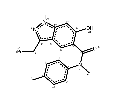 Cc1ccc(N(C)C(=O)c2cc3c(CC(C)C)n[nH]c3cc2O)cc1